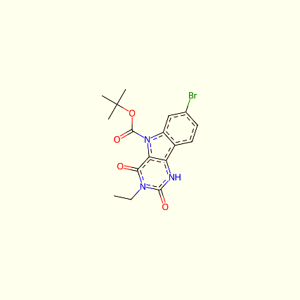 CCn1c(=O)[nH]c2c3ccc(Br)cc3n(C(=O)OC(C)(C)C)c2c1=O